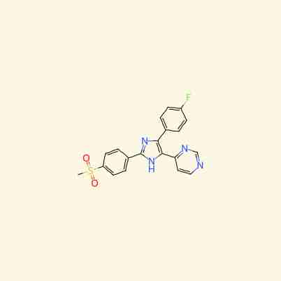 CS(=O)(=O)c1ccc(-c2nc(-c3ccc(F)cc3)c(-c3ccncn3)[nH]2)cc1